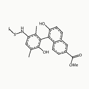 COC(=O)c1ccc2c(-c3c(C)c(NSI)cc(C)c3O)c(O)ccc2c1